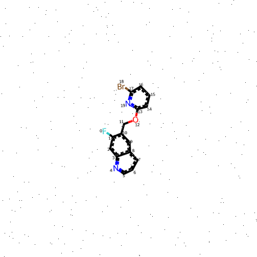 Fc1cc2ncccc2cc1COc1cccc(Br)n1